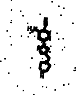 N#Cc1cnc(-n2cc(CN3CCNCC3)cn2)cc1N